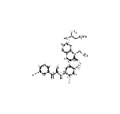 COCC(C)Nc1cc2c(cn1)cc(-c1cc(NC(=O)Nc3cccc(F)c3)c(F)cc1Cl)c(=O)n2CC(F)(F)F